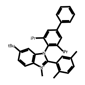 Cc1ccc(C)c(-c2n(-c3c(C(C)C)cc(-c4ccccc4)cc3C(C)C)c3cc(C(C)(C)C)ccc3[n+]2C)c1